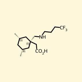 C[C@@H]1C[C@H](C)C[C@@](CNCCCC(F)(F)F)(CC(=O)O)C1